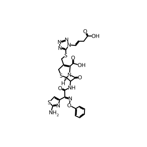 Nc1nc(C(=NOc2ccccc2)C(=O)NC2C(=O)N3C(C(=O)O)=C(CSc4nnnn4C=CCC(=O)O)CS[C@@H]23)cs1